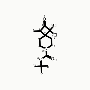 CC1C(=O)C(Cl)(Cl)C12CCN(C(=O)OC(C)(C)C)CC2